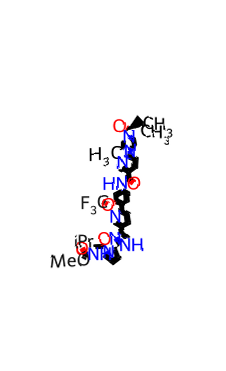 COC(=O)N[C@H](C(=O)N1CCC[C@H]1c1nc(-c2ccc(-c3ccc(NC(=O)c4ccc(N5CCN(C(=O)[C@H]6CC6(C)C)C[C@H]5C)nc4)cc3OC(F)(F)F)nc2)c[nH]1)C(C)C